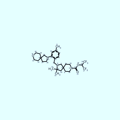 Cc1ccc(CN2CC3(CCN(C(=O)OC(C(F)(F)F)C(F)(F)F)CC3)CC2(C)C)c(N2CCC3(CCOCC3)C2)c1